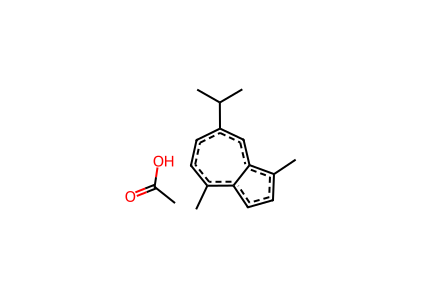 CC(=O)O.Cc1ccc(C(C)C)cc2c(C)ccc1-2